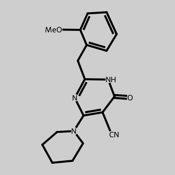 COc1ccccc1Cc1nc(N2CCCCC2)c(C#N)c(=O)[nH]1